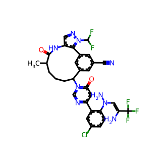 CC1CCCC(n2cnc(-c3cc(Cl)ccc3N(N)/C=C(\N)C(F)(F)F)cc2=O)c2cc(C#N)cc(c2)-c2c(cnn2C(F)F)NC1=O